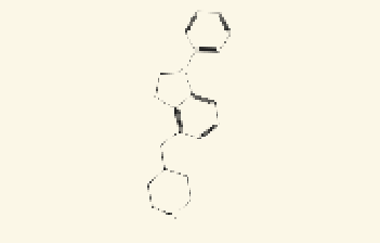 c1ccc(N2CCc3c(CC4CCNCC4)cccc32)cc1